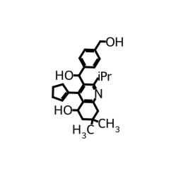 CC(C)c1nc2c(c(C3=CCCC3)c1C(O)c1ccc(CO)cc1)C(O)CC(C)(C)C2